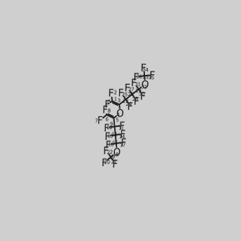 FC(F)=C(OC(=C(F)F)C(F)(F)C(F)(F)C(F)(F)OC(F)(F)F)C(F)(F)C(F)(F)C(F)(F)OC(F)(F)F